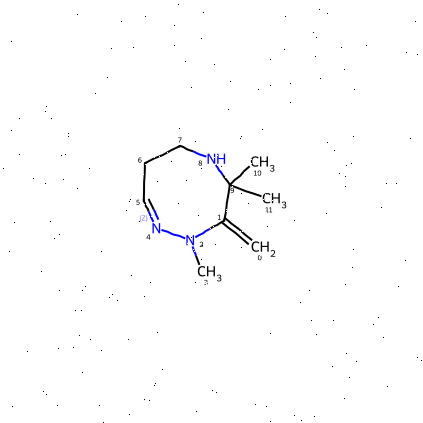 C=C1N(C)/N=C\CCNC1(C)C